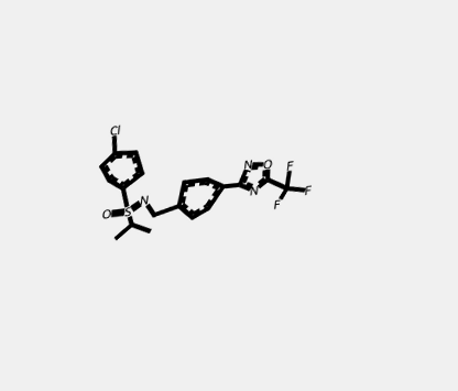 CC(C)S(=O)(=NCc1ccc(-c2noc(C(F)(F)F)n2)cc1)c1ccc(Cl)cc1